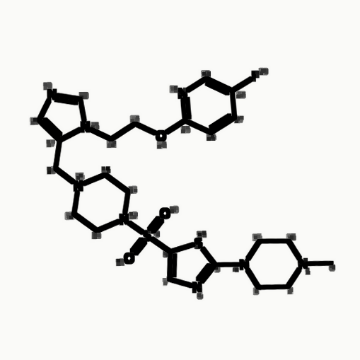 CN1CCN(c2ncc(S(=O)(=O)N3CCN(Cc4cncn4CCOc4ccc(F)cn4)CC3)s2)CC1